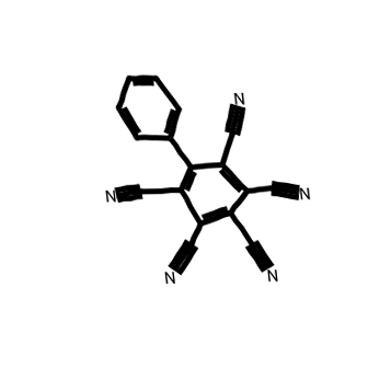 N#Cc1c(C#N)c(C#N)c(-c2ccccc2)c(C#N)c1C#N